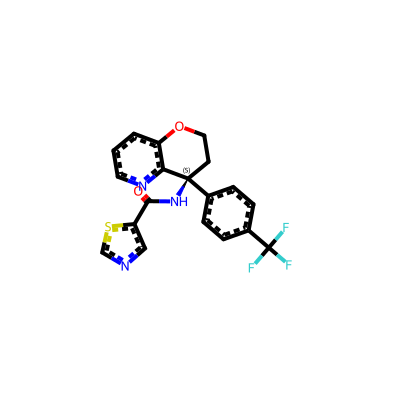 O=C(N[C@]1(c2ccc(C(F)(F)F)cc2)CCOc2cccnc21)c1cncs1